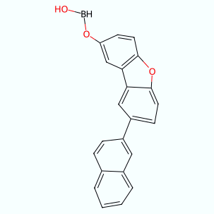 OBOc1ccc2oc3ccc(-c4ccc5ccccc5c4)cc3c2c1